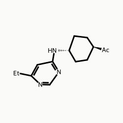 CCc1cc(N[C@H]2CC[C@H](C(C)=O)CC2)ncn1